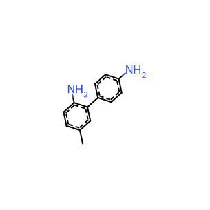 Cc1ccc(N)c(-c2ccc(N)cc2)c1